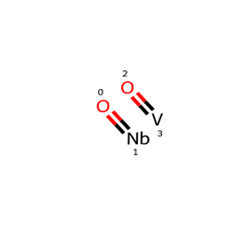 [O]=[Nb].[O]=[V]